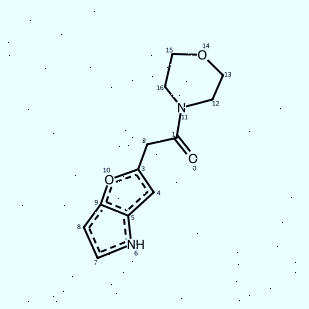 O=C(Cc1cc2[nH]ccc2o1)N1CCOCC1